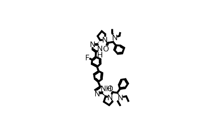 CCN(CC)[C@@H](C(=O)N1CCC[C@H]1c1ncc(-c2ccc(-c3ccc(-c4cnc([C@@H]5CCCN5C(=O)[C@@H](c5ccccc5)N(CC)CC)[nH]4)c(F)c3)cc2)[nH]1)c1ccccc1